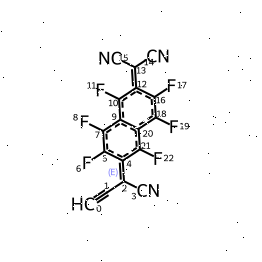 C#C/C(C#N)=c1\c(F)c(F)c2c(F)c(=C(C#N)C#N)c(F)c(F)c2c1F